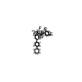 CC1=[N+]2C3C=C(c4ccc(C5CCCCC5)cc4)C=CC32C(C(=O)Nc2ccc(F)cc2C(F)(F)F)=C1